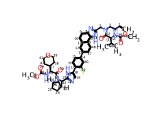 C=CCCN(Cc1nc2ccc3cc(-c4ccc(-c5cnc(C6[C@H]7CC[C@H](C7)N6C(=O)[C@@H](NC(=O)OC)C6CCOCC6)[nH]5)c(F)c4)ccc3c2[nH]1)C(=O)[C@@H](NC(=O)OC)C(C)C